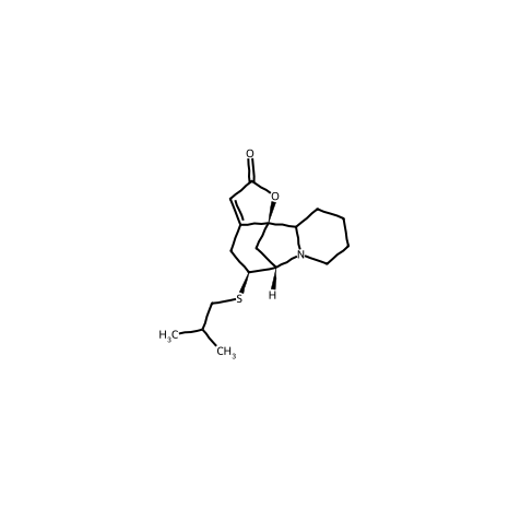 CC(C)CS[C@H]1CC2=CC(=O)O[C@@]23C[C@@H]1N1CCCCC13